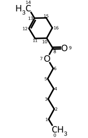 CCCCCCCOC(=O)C1CC=C(C)CC1